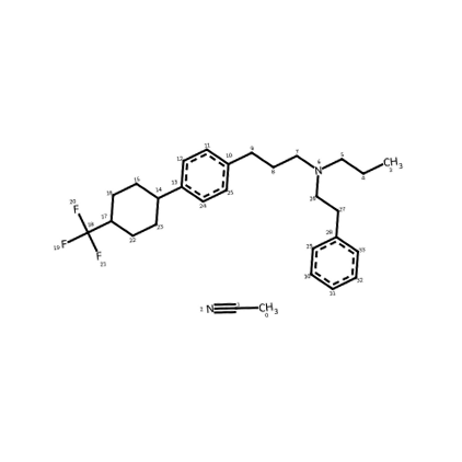 CC#N.CCCN(CCCc1ccc(C2CCC(C(F)(F)F)CC2)cc1)CCc1ccccc1